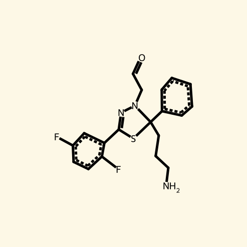 NCCCC1(c2ccccc2)SC(c2cc(F)ccc2F)=NN1CC=O